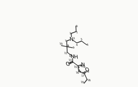 CCCN(CCC)CC(C)(C)CNC(=O)c1cc(CC)on1